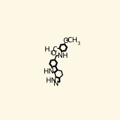 COc1ccc(NC(=O)c2ccc3[nH]c4c(c3c2)CCc2cn[nH]c2-4)c(C)c1